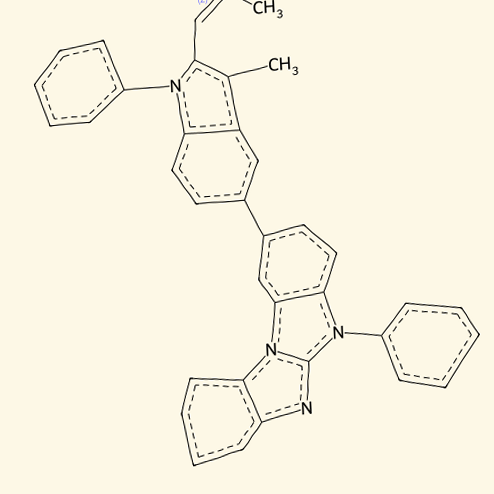 C/C=C\c1c(C)c2cc(-c3ccc4c(c3)n3c5ccccc5nc3n4-c3ccccc3)ccc2n1-c1ccccc1